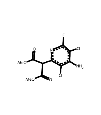 COC(=O)C(C(=O)OC)c1nc(F)c(Cl)c(N)c1Cl